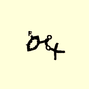 CC(C)(C)OC(=O)c1cc[c]c(F)c1